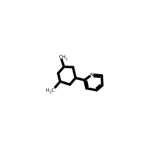 CC1CC(C)CC(c2ccccn2)C1